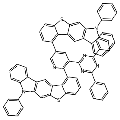 c1ccc(-c2nc(-c3ccccc3)nc(-c3cc(-c4cccc5sc6cc7c(cc6c45)c4ccccc4n7-c4ccccc4)cnc3-c3cccc4sc5cc6c(cc5c34)c3ccccc3n6-c3ccccc3)n2)cc1